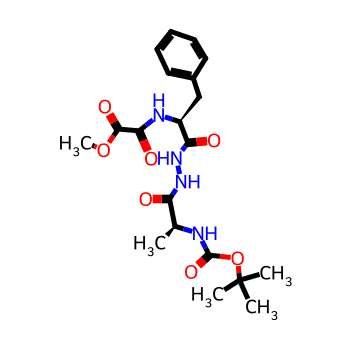 COC(=O)C(=O)N[C@@H](Cc1ccccc1)C(=O)NNC(=O)[C@H](C)NC(=O)OC(C)(C)C